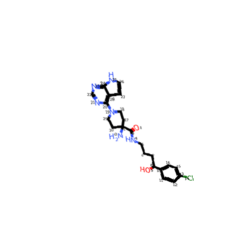 NC1(C(=O)NCCCC(O)c2ccc(Cl)cc2)CCN(c2ncnc3[nH]ccc23)CC1